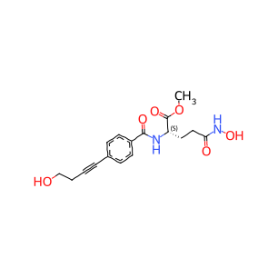 COC(=O)[C@H](CCC(=O)NO)NC(=O)c1ccc(C#CCCO)cc1